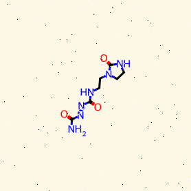 NC(=O)/N=N/C(=O)NCCN1CCNC1=O